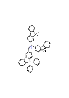 CC1(C)c2ccccc2-c2ccc(/C(=C/c3ccc4c(c3)-c3ccccc3C4(c3ccccc3)c3ccccc3)c3ccc4sc5ccccc5c4c3)cc21